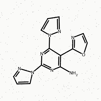 Nc1nc(-n2cccn2)nc(-n2cccn2)c1-c1ncco1